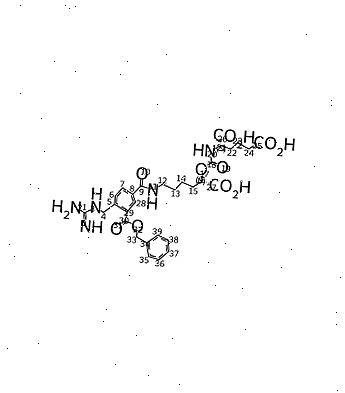 N=C(N)NCc1ccc(C(=O)NCCCC[C@H](OC(=O)N[C@@H](CCCC(=O)O)C(=O)O)C(=O)O)cc1C(=O)OCc1ccccc1